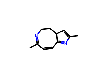 CC1=CC2CC/N=C(C)\C=C/C2=N1